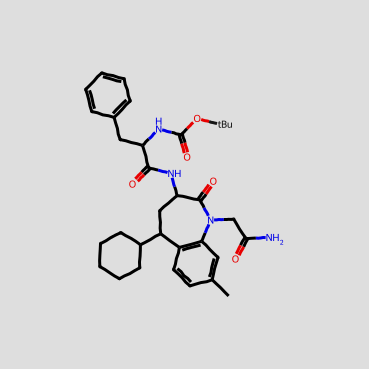 Cc1ccc2c(c1)N(CC(N)=O)C(=O)C(NC(=O)C(Cc1ccccc1)NC(=O)OC(C)(C)C)CC2C1CCCCC1